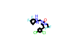 O=c1n(Cc2nc3ccc(F)c(F)c3[nH]2)cc(Cc2ccc(Cl)cc2Cl)n1CC(F)F